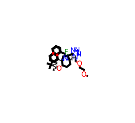 COCCOCn1nnnc1[C@@]1(F)C[C@@]2(c3ccccc3)[C@H](O[Si](C)(C)C(C)(C)C)CC[C@@H]1N2Cc1ccccc1